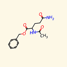 CC(=O)NC(CCC(N)=O)C(=O)OCc1ccccc1